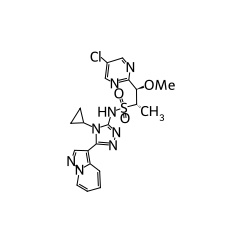 CO[C@H](c1ncc(Cl)cn1)[C@H](C)S(=O)(=O)Nc1nnc(-c2cnn3ccccc23)n1C1CC1